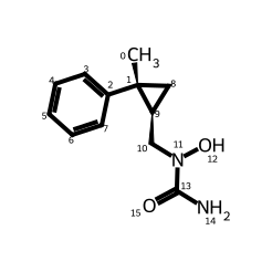 C[C@@]1(c2ccccc2)C[C@H]1CN(O)C(N)=O